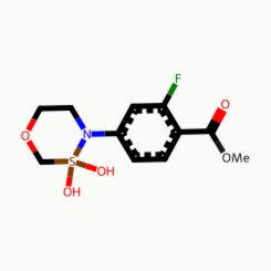 COC(=O)c1ccc(N2CCOCS2(O)O)cc1F